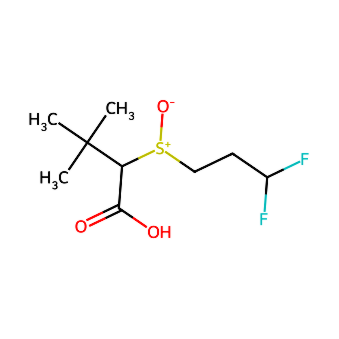 CC(C)(C)C(C(=O)O)[S+]([O-])CCC(F)F